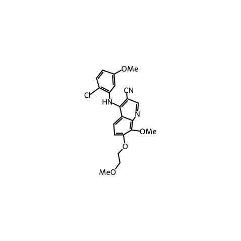 COCCOc1ccc2c(Nc3cc(OC)ccc3Cl)c(C#N)cnc2c1OC